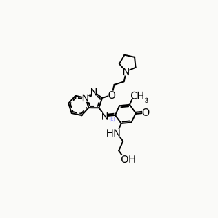 CC1=C/C(=N\c2c(OCCN3CCCC3)nn3ccccc23)C(NCCO)=CC1=O